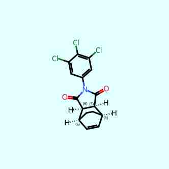 O=C1[C@@H]2[C@H](C(=O)N1c1cc(Cl)c(Cl)c(Cl)c1)[C@@H]1C=C[C@H]2CC1